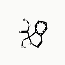 CC(C)(C)OC(=O)C1(OC(C)(C)C)NC=Cc2ccccc21